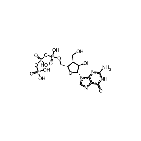 Nc1nc2c(ncn2[C@@H]2O[C@H](COP(=O)(O)OP(=O)(O)OP(=O)(O)O)[C@@H](CO)[C@H]2O)c(=O)[nH]1